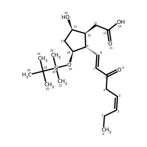 CC/C=C\CC(=O)C=C[C@H]1[C@H](CC(=O)O)[C@H](O)C[C@@H]1O[Si](C)(C)C(C)(C)C